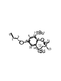 C=CCOc1cc(C(C)(C)C)c(O[Si](C)(C)C)c(C(C)(C)C)c1